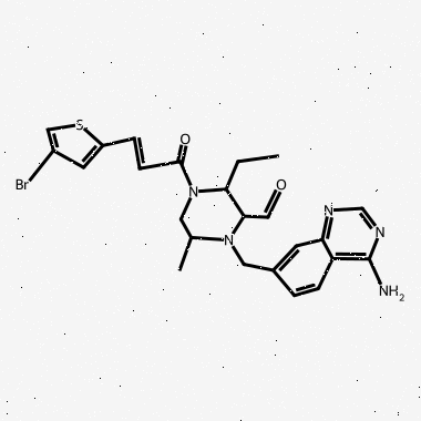 CCC1C(C=O)N(Cc2ccc3c(N)ncnc3c2)C(C)CN1C(=O)C=Cc1cc(Br)cs1